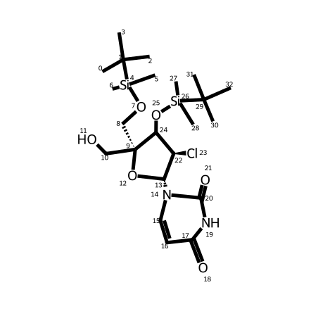 CC(C)(C)[Si](C)(C)OC[C@@]1(CO)O[C@@H](n2ccc(=O)[nH]c2=O)[C@H](Cl)C1O[Si](C)(C)C(C)(C)C